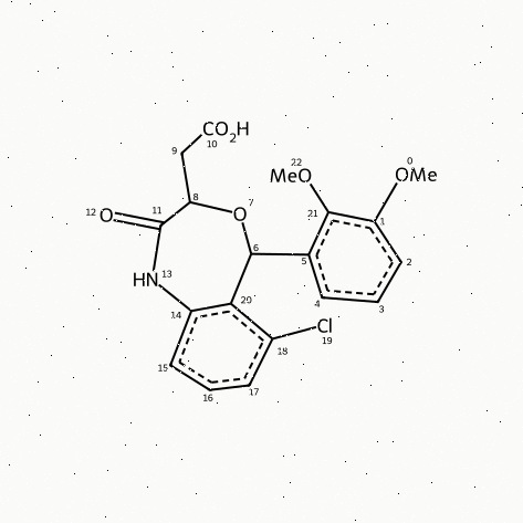 COc1cccc(C2OC(CC(=O)O)C(=O)Nc3cccc(Cl)c32)c1OC